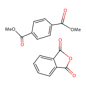 COC(=O)c1ccc(C(=O)OC)cc1.O=C1OC(=O)c2ccccc21